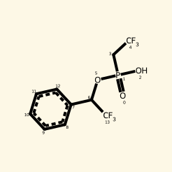 O=P(O)(CC(F)(F)F)OC(c1ccccc1)C(F)(F)F